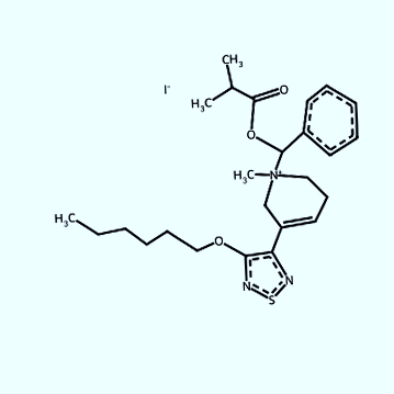 CCCCCCOc1nsnc1C1=CCC[N+](C)(C(OC(=O)C(C)C)c2ccccc2)C1.[I-]